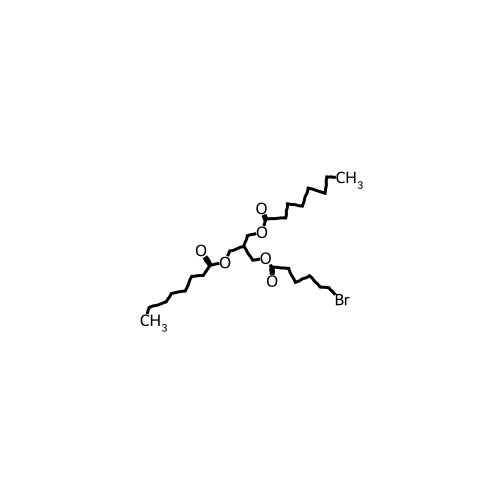 CCCCCCCC(=O)OCC(COC(=O)CCCCCBr)COC(=O)CCCCCCC